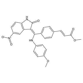 COC(=O)C=Cc1ccc(C(Nc2ccc(OC)cc2)=C2C(=O)Nc3ccc([N+](=O)[O-])cc32)cc1